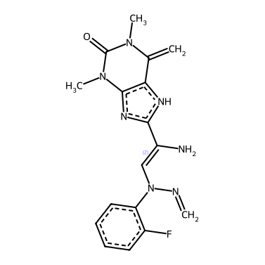 C=NN(/C=C(\N)c1nc2c([nH]1)C(=C)N(C)C(=O)N2C)c1ccccc1F